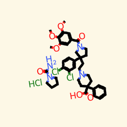 COc1cc(C(=O)N2CCC(CCN3CCC(C(=O)O)(c4ccccc4)CC3)(c3ccc(Cl)c(Cl)c3)C2)cc(OC)c1OC.Cl.NC(=O)N1CCCC1